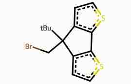 CC(C)(C)C1(CBr)c2ccsc2-c2sccc21